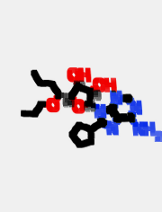 CCCOC(CCC)[C@H]1O[C@@H](n2c(C3CCCC3)nc3c(N)ncnc32)[C@H](O)[C@@H]1O